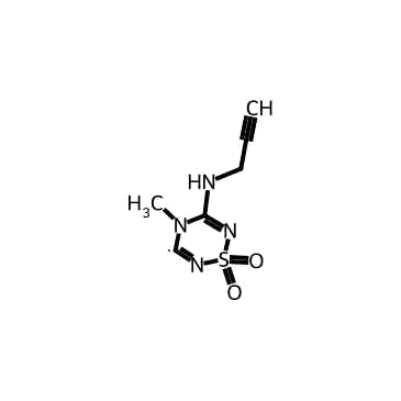 C#CCNC1=NS(=O)(=O)N=[C]N1C